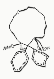 COC1(OC)CCCCCCCCCC(O)(O)C1(c1ccccc1)c1ccccc1